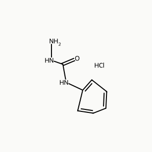 Cl.NNC(=O)Nc1ccccc1